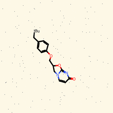 CC(C)(C)Cc1ccc(OCC2Cn3ccc(=O)nc3O2)cc1